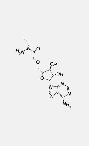 CCN(N)C(=O)COC[C@H]1O[C@@H](n2cnc3c(N)ncnc32)[C@H](O)[C@@H]1O